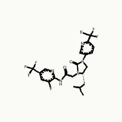 CC(C)C[C@H]1CN(c2ccc(C(F)(F)F)nc2)C(=O)N1CC(=O)Nc1ncc(C(F)(F)F)cc1F